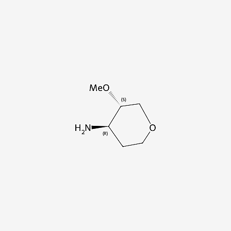 CO[C@@H]1COCC[C@H]1N